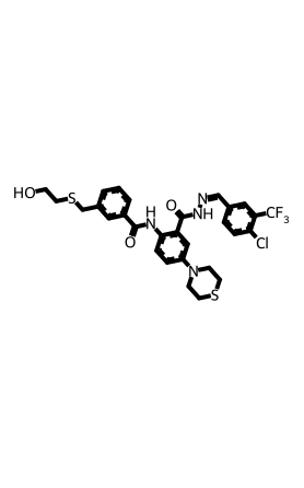 O=C(Nc1ccc(N2CCSCC2)cc1C(=O)N/N=C\c1ccc(Cl)c(C(F)(F)F)c1)c1cccc(CSCCO)c1